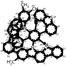 Cc1cc2c3ccc4c5ccccc5sc4c3n(-c3c(C#N)c(-c4cccc5sc6ccccc6c45)c(C#N)c(-n4c5cc(C)c(C)cc5c5ccc6c7ccccc7sc6c54)c3-c3cccc4sc5ccccc5c34)c2cc1C